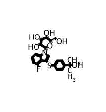 CC(C)(O)c1ccc(Sc2cn([C@@H]3O[C@H](CO)[C@@H](O)[C@H](O)[C@H]3O)c3cccc(F)c23)cc1